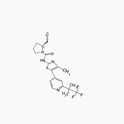 Cc1nc(NC(=O)N2CCC[C@H]2C=O)sc1-c1ccnc(C(C)(C)C(F)(F)F)c1